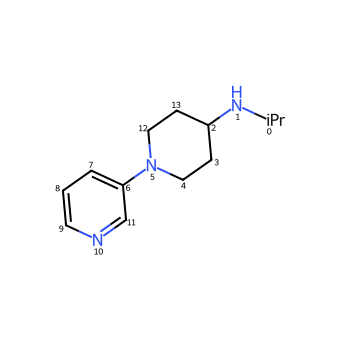 CC(C)NC1CCN(c2cccnc2)CC1